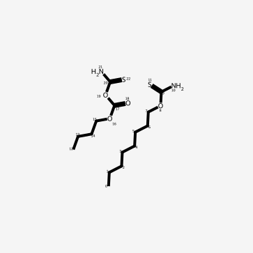 CCCCCCCCOC(N)=S.CCCCOC(=O)OC(N)=S